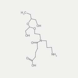 CCC(CO)OC(CO)OCCN(CCCN)C(=O)CCCC(=O)O